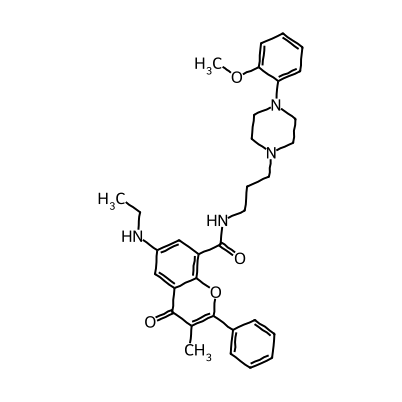 CCNc1cc(C(=O)NCCCN2CCN(c3ccccc3OC)CC2)c2oc(-c3ccccc3)c(C)c(=O)c2c1